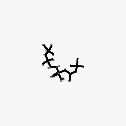 CC(CC(C)(C)C)CP(=O)(O)SSC(C)(C)CC(C)(C)C